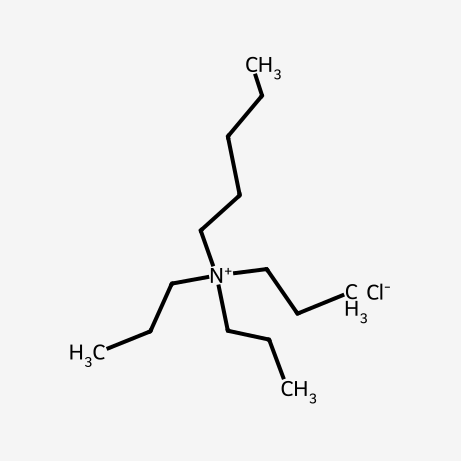 CCCCC[N+](CCC)(CCC)CCC.[Cl-]